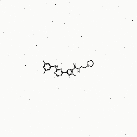 Cc1cc(C)cc(Nc2nccc(-c3cc(C(=O)NCCN4CCCC4)n(C)n3)n2)c1